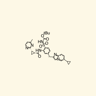 Cc1ccnc([C@H]2C[C@@H]2C(=O)Nc2cc([CH]c3cn4cc(C5CC5)ccc4n3)ccc2S(=O)(=O)NC(=O)OC(C)(C)C)n1